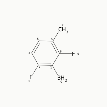 Bc1c(F)ccc(C)c1F